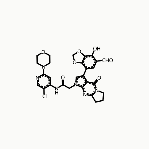 O=Cc1cc(-c2cn(CC(=O)Nc3cc(N4CCOCC4)ncc3Cl)c3nc4n(c(=O)c23)CCC4)c2c(c1O)OCO2